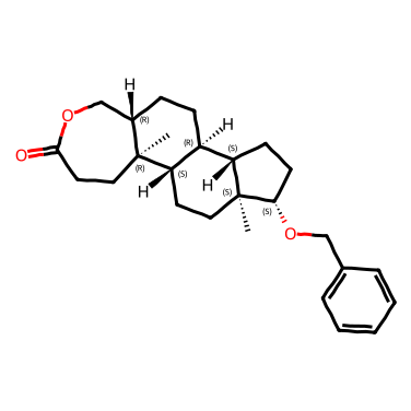 C[C@]12CCC(=O)OC[C@@H]1CC[C@@H]1[C@@H]2CC[C@]2(C)[C@@H](OCc3ccccc3)CC[C@@H]12